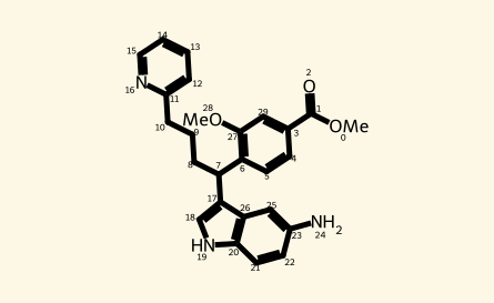 COC(=O)c1ccc(C(CCCc2ccccn2)c2c[nH]c3ccc(N)cc23)c(OC)c1